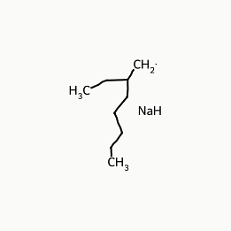 [CH2]C(CC)CCCCC.[NaH]